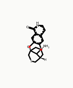 N[C@H]1C[C@H]2CSC[C@@H](C1)C2Oc1cc2cc[nH]c(=O)c2cc1Cl